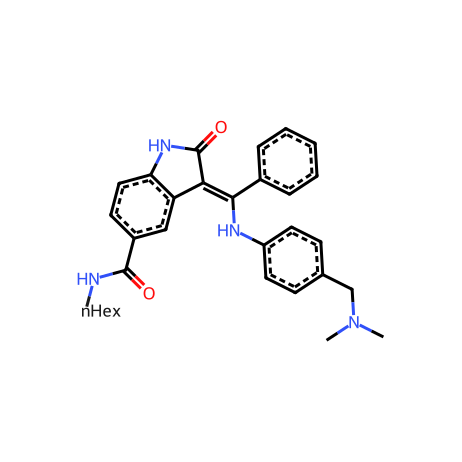 CCCCCCNC(=O)c1ccc2c(c1)C(=C(Nc1ccc(CN(C)C)cc1)c1ccccc1)C(=O)N2